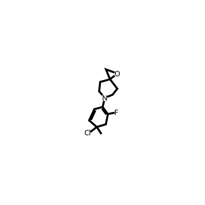 CC1(Cl)C=CC(N2CCC3(CC2)CO3)=C(F)C1